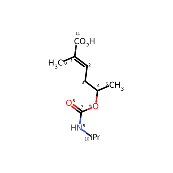 CC(=CCC(C)OC(=O)NC(C)C)C(=O)O